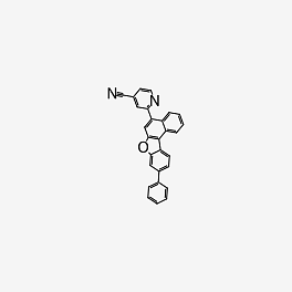 N#Cc1ccnc(-c2cc3oc4cc(-c5ccccc5)ccc4c3c3ccccc23)c1